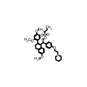 CCCS(=O)(=O)OOC(C1=C(c2ccc(OC)cc2OC)CCc2cc(OC)ccc21)c1ccc(OCCN2CCCCC2)cc1